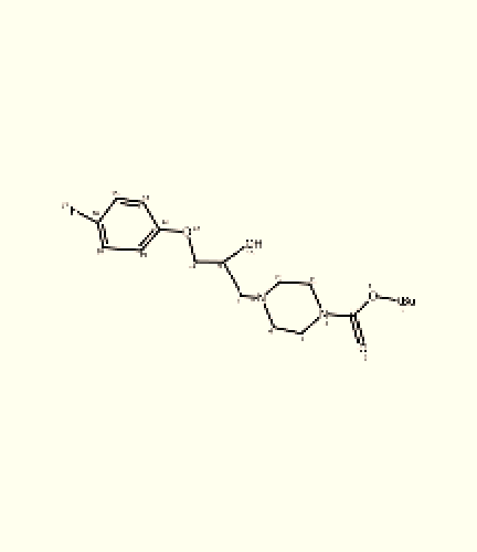 CC(C)(C)OC(=O)N1CCN(CC(O)COc2ccc(F)cc2)CC1